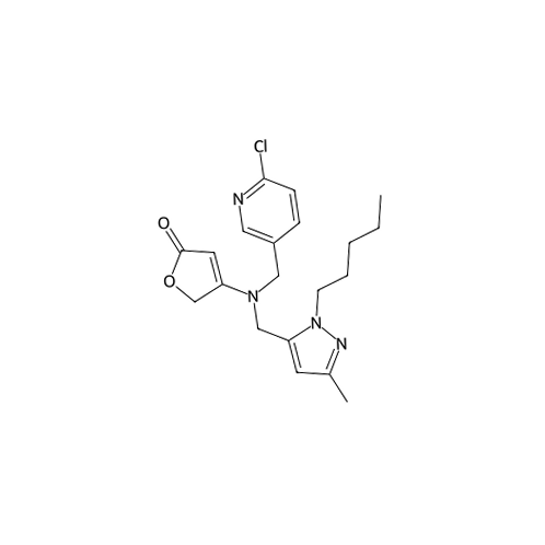 CCCCCn1nc(C)cc1CN(Cc1ccc(Cl)nc1)C1=CC(=O)OC1